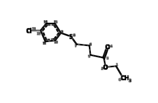 CCOC(=O)CCCSc1ccc(Cl)cc1